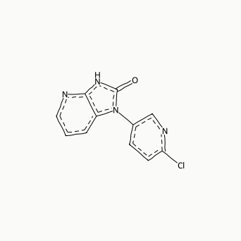 O=c1[nH]c2ncccc2n1-c1ccc(Cl)nc1